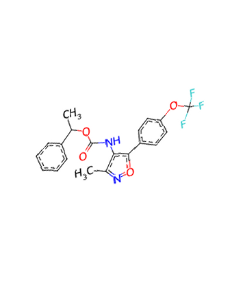 Cc1noc(-c2ccc(OC(F)(F)F)cc2)c1NC(=O)OC(C)c1ccccc1